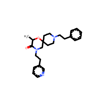 CC1OC2(CCN(CCc3ccccc3)CC2)CN(CCc2cccnc2)C1=O